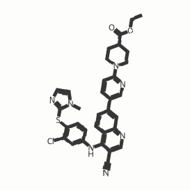 CCOC(=O)C1CCN(c2ccc(-c3ccc4c(Nc5ccc(Sc6nccn6C)c(Cl)c5)c(C#N)cnc4c3)cn2)CC1